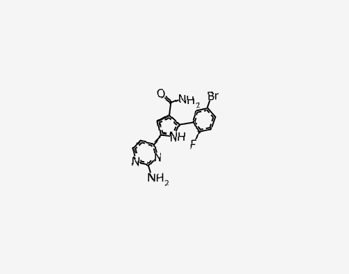 NC(=O)c1cc(-c2ccnc(N)n2)[nH]c1-c1cc(Br)ccc1F